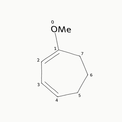 COC1=CC=CCCC1